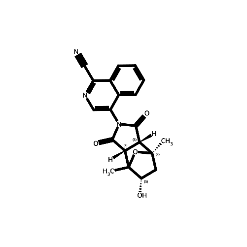 CC12O[C@](C)(C[C@@H]1O)[C@H]1C(=O)N(c3cnc(C#N)c4ccccc34)C(=O)[C@H]12